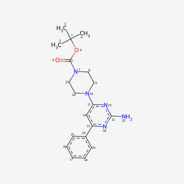 CC(C)(C)OC(=O)N1CCN(c2cc(-c3ccccc3)nc(N)n2)CC1